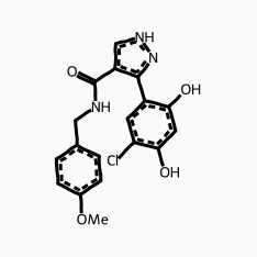 COc1ccc(CNC(=O)c2c[nH]nc2-c2cc(Cl)c(O)cc2O)cc1